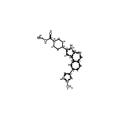 Cn1cc(-c2ccc3cnc4[nH]c(C5CCN(C(=O)OC(C)(C)C)CC5)cc4c3c2)cn1